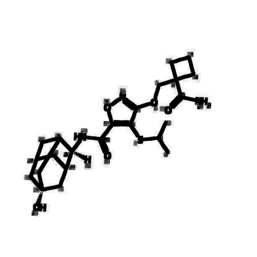 CC(C)Sc1c(OCC2(C(N)=O)CCC2)noc1C(=O)N[C@H]1C2CC3CC1C[C@](O)(C3)C2